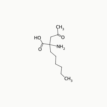 CCCCCCC(N)(CC(C)=O)C(=O)O